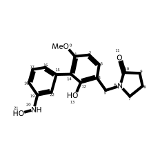 COc1ccc(CN2CCCC2=O)c(O)c1-c1cccc(NO)c1